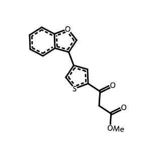 COC(=O)CC(=O)c1cc(-c2coc3ccccc23)cs1